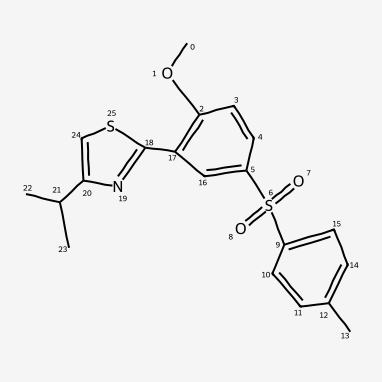 COc1ccc(S(=O)(=O)c2ccc(C)cc2)cc1-c1nc(C(C)C)cs1